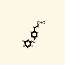 O=CCCc1ccc(Oc2ccccc2)cc1